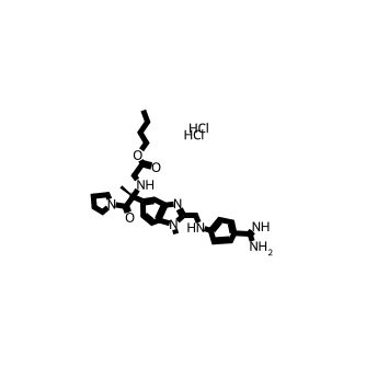 CCCCOC(=O)CN[C@@](C)(C(=O)N1CCCC1)c1ccc2c(c1)nc(CNc1ccc(C(=N)N)cc1)n2C.Cl.Cl